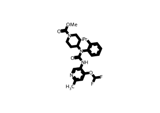 COC(=O)N1CCC(N(C(=O)Nc2cnc(C)cc2OC(F)F)c2ccccc2C(C)C)CC1